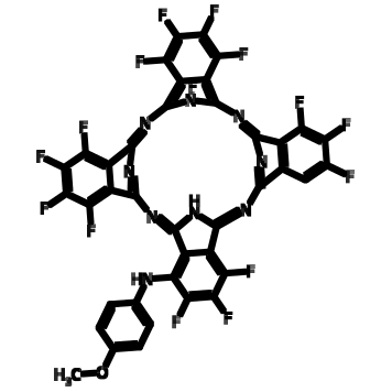 COc1ccc(Nc2c(F)c(F)c(F)c3c4nc5nc(nc6c7c(F)c(F)c(F)c(F)c7c(nc7nc(nc([nH]4)c23)-c2c(F)c(F)c(F)c(F)c2-7)n6F)-c2c-5cc(F)c(F)c2F)cc1